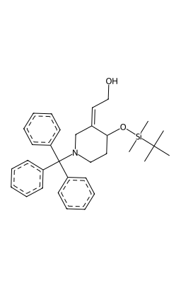 CC(C)(C)[Si](C)(C)OC1CCN(C(c2ccccc2)(c2ccccc2)c2ccccc2)CC1=CCO